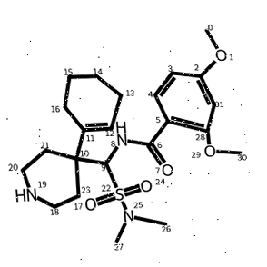 COc1ccc(C(=O)NC(C2(C3=CCCCC3)CCNCC2)S(=O)(=O)N(C)C)c(OC)c1